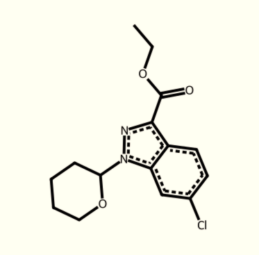 CCOC(=O)c1nn(C2CCCCO2)c2cc(Cl)ccc12